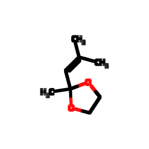 CC(C)=CC1(C)OCCO1